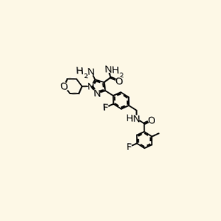 Cc1ccc(F)cc1C(=O)NCc1ccc(-c2nn(C3CCOCC3)c(N)c2C(N)=O)c(F)c1